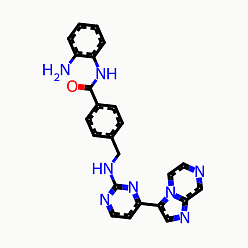 Nc1ccccc1NC(=O)c1ccc(CNc2nccc(-c3cnc4cnccn34)n2)cc1